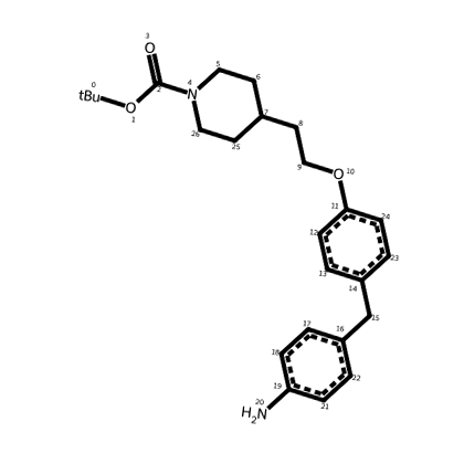 CC(C)(C)OC(=O)N1CCC(CCOc2ccc(Cc3ccc(N)cc3)cc2)CC1